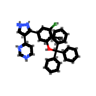 Cc1c(Cl)cc(-c2n[nH]cc2-c2ccncn2)cc1OC(c1ccccc1)(c1ccccc1)c1ccccc1